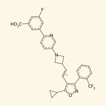 O=C(O)c1cc(F)cc(-c2ccc(N3CC(/C=C/c4c(-c5ccccc5C(F)(F)F)noc4C4CC4)C3)cn2)c1